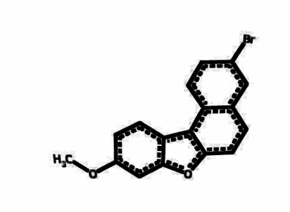 COc1ccc2c(c1)oc1ccc3cc(Br)ccc3c12